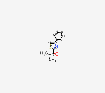 CC(C)C(=O)c1nc(-c2ccccc2)cs1